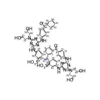 O=C(c1ccccc1)c1ccc(Nc2nc(Nc3ccc(/C=C/c4ccc(Nc5nc(Nc6ccc(C(=O)c7ccccc7)cc6)nc(N(CCO)CCO)n5)cc4S(=O)(=O)O)c(S(=O)(=O)O)c3)nc(N(CCO)CCO)n2)cc1